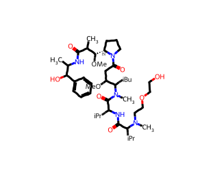 CCC(C)C(C(CC(=O)N1CCC[C@H]1C(OC)C(C)C(=O)NC(C)C(O)c1ccccc1)OC)N(C)C(=O)C(NC(=O)C(C(C)C)N(C)CCOCCO)C(C)C